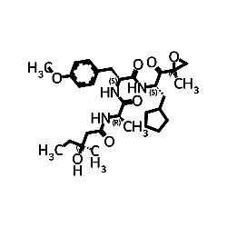 CC[C@](C)(O)CC(=O)N[C@H](C)C(=O)N[C@@H](Cc1ccc(OC)cc1)C(=O)N[C@@H](CC1CCCC1)C(=O)[C@@]1(C)CO1